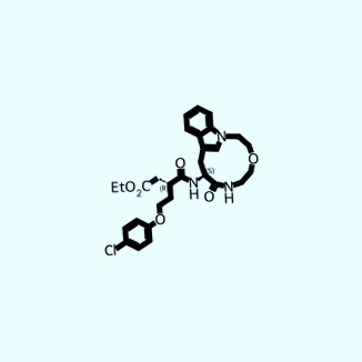 CCOC(=O)C[C@@H](CCOc1ccc(Cl)cc1)C(=O)N[C@H]1Cc2cn(c3ccccc23)CCOCCNC1=O